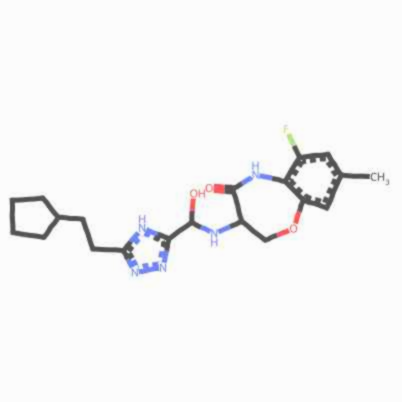 Cc1cc(F)c2c(c1)OCC(NC(O)c1nnc(CCC3CCCC3)[nH]1)C(=O)N2